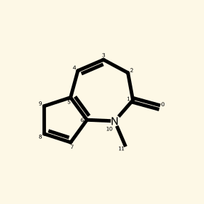 C=C1CC=CC2=C(C=CC2)N1C